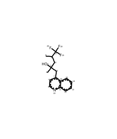 CC(CC(C)(O)Cc1ccnc2ccccc12)C(F)(F)F